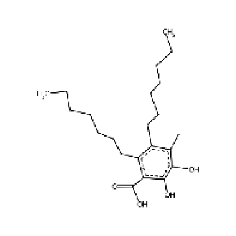 CCCCCCCc1c(I)c(O)c(O)c(C(=O)O)c1CCCCCCC